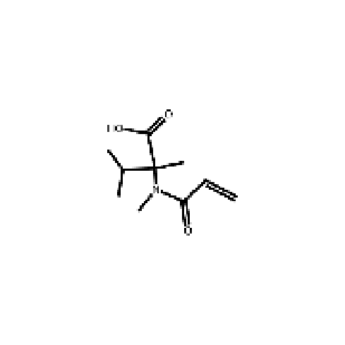 C=CC(=O)N(C)C(C)(C(=O)O)C(C)C